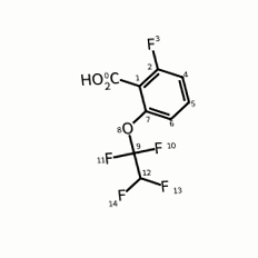 O=C(O)c1c(F)cccc1OC(F)(F)C(F)F